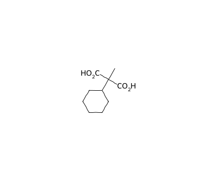 CC(C(=O)O)(C(=O)O)C1CCCCC1